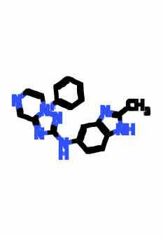 Cc1nc2cc(NC3=N[N+]4(c5ccccc5)C=CN=CC4=N3)ccc2[nH]1